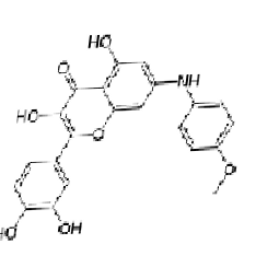 COc1ccc(Nc2cc(O)c3c(=O)c(O)c(-c4ccc(O)c(O)c4)oc3c2)cc1